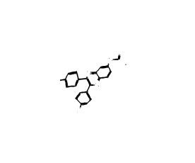 CC(C)(C)OC(=O)Nc1ccc2nc(-c3ccc(F)cc3)c(-c3ccc(F)cc3)nc2c1